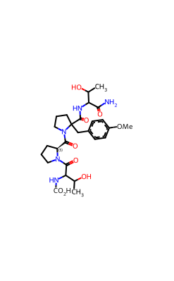 COc1ccc(CC2(C(=O)NC(C(N)=O)C(C)O)CCCN2C(=O)[C@@H]2CCCN2C(=O)C(NC(=O)O)C(C)O)cc1